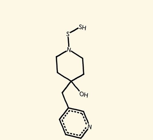 OC1(Cc2cccnc2)CCN(SS)CC1